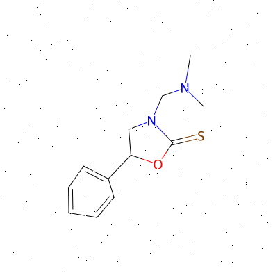 CN(C)CN1CC(c2ccccc2)OC1=S